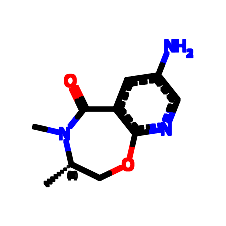 C[C@H]1COc2ncc(N)cc2C(=O)N1C